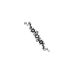 CCCCOc1ccc(C(=O)O[C@H]2CC[C@H](OC(=O)c3ccc(OCCCC)cc3)CC2)cc1